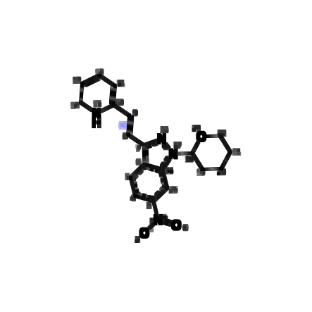 O=[N+]([O-])c1ccc2c(/C=C/C3=CC=CCN3)nn(C3CCCCO3)c2c1